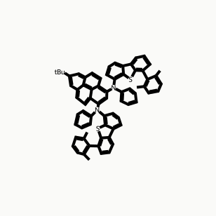 Cc1cccc(C)c1-c1cccc2c1sc1c(N(c3ccccc3)c3cc(N(c4ccccc4)c4cccc5c4sc4c(-c6c(C)cccc6C)cccc45)c4ccc5cc(C(C)(C)C)cc6ccc3c4c65)cccc12